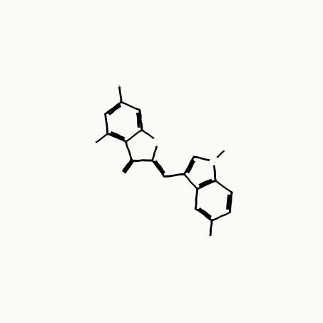 Cn1cc(C=C2Oc3cc(O)cc(O)c3C2=O)c2cc(F)ccc21